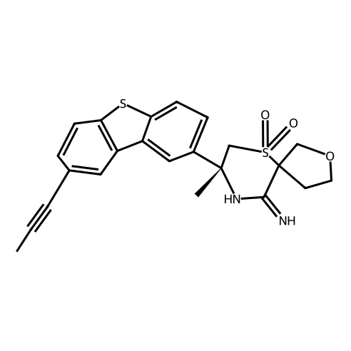 CC#Cc1ccc2sc3ccc([C@]4(C)CS(=O)(=O)C5(CCOC5)C(=N)N4)cc3c2c1